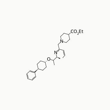 C/C=C\C(CN1CCC(C(=O)OCC)CC1)=N/[C@@H](C)C(C)O[C@H]1CC[C@H](c2ccccc2)CC1